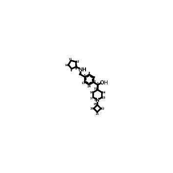 OC(c1ccc(CNC2CCCC2)cc1)C1CCN(C2CCC2)CC1